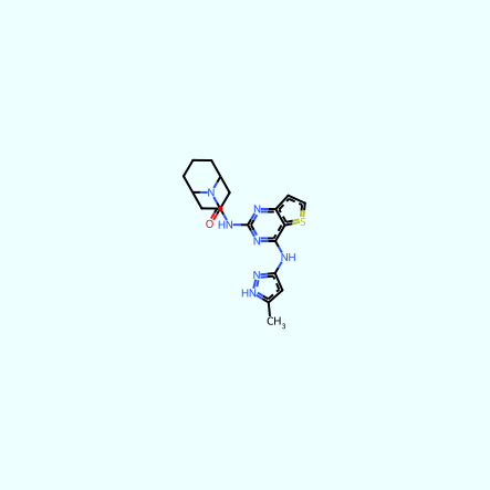 Cc1cc(Nc2nc(NC3CC4CCCC(C3)N4C=O)nc3ccsc23)n[nH]1